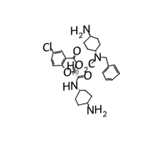 N[C@H]1CC[C@H](N(Cc2ccccc2)C(=O)O)CC1.N[C@H]1CC[C@H](NC(=O)[C@H]2CC(=O)c3cc(Cl)ccc3O2)CC1